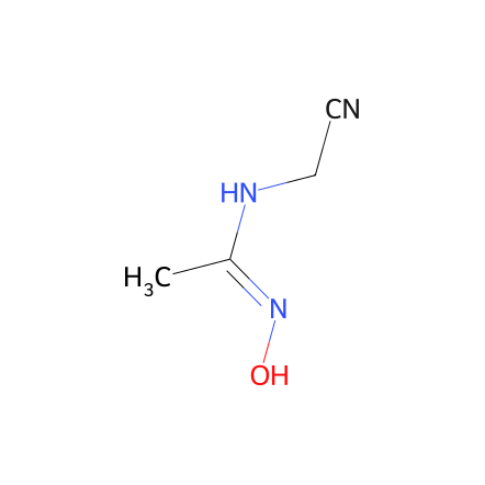 CC(=NO)NCC#N